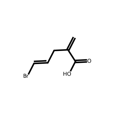 C=C(CC=CBr)C(=O)O